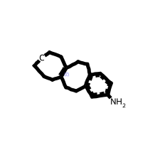 Nc1ccc2c(c1)CC/C1=C(/CCCCCC1)CC2